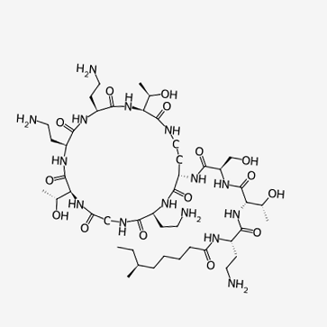 CC[C@H](C)CCCCC(=O)N[C@@H](CCN)C(=O)N[C@H](C(=O)N[C@H](CO)C(=O)N[C@H]1CCNC(=O)[C@H]([C@@H](C)O)NC(=O)[C@H](CCN)NC(=O)[C@H](CCN)NC(=O)[C@H]([C@@H](C)O)NC(=O)CNC(=O)[C@H](CCN)NC1=O)[C@@H](C)O